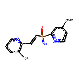 COc1ccnc(S(=N)(=O)/C=C/c2ncccc2C(F)(F)F)c1